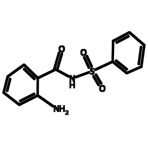 Nc1ccccc1C(=O)NS(=O)(=O)c1ccccc1